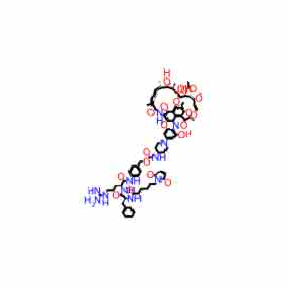 CO[C@H]1/C=C/O[C@@]2(C)Oc3c(C)c4c5c(=O)c(c6oc7cc(N8CCC(NC(=O)OCc9ccc(NC(=O)[C@H](CCCNC(=N)N)NC(=O)[C@H](Cc%10ccccc%10)NC(=O)CCCCCN%10C(=O)C=CC%10=O)cc9)CC8)cc(O)c7nc-6c5c3C2=O)NC(=O)/C(C)=C\C=C\[C@H](C)[C@H](O)[C@@H](C)[C@@H](O)C(C)(O4)[C@H](OC(C)=O)[C@@H]1C